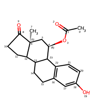 CC(=O)O[C@@H]1C[C@]2(C)C(=O)CCC2C2CCc3cc(O)ccc3C21